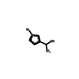 CCn1ccc(C(O)C(F)(F)F)c1